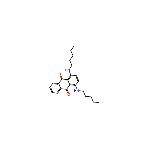 CCCCCNc1ccc(NCCCCC)c2c1C(=O)c1ccccc1C2=O